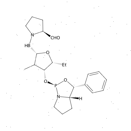 CC[C@H]1O[C@@H](BN2CCC[C@H]2C=O)C(C)[C@H]1O[P@@]1O[C@H](c2ccccc2)[C@@H]2CCCN21